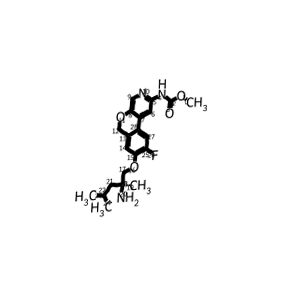 COC(=O)Nc1cc2c(cn1)OCc1cc(OC[C@@](C)(N)CC(C)C)c(F)cc1-2